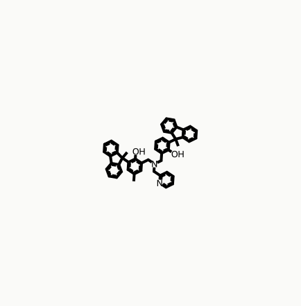 Cc1cc(CN(Cc2ccccn2)Cc2cccc(C3(C)c4ccccc4-c4ccccc43)c2O)c(O)c(C2(C)c3ccccc3-c3ccccc32)c1